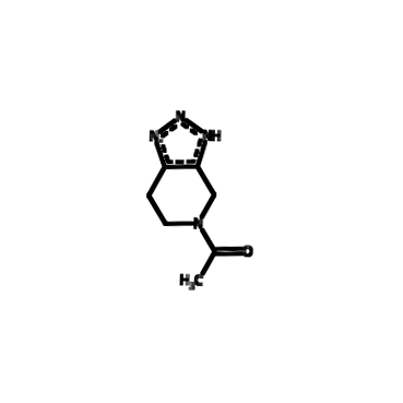 CC(=O)N1CCc2nn[nH]c2C1